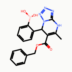 CC1=C(C(=O)OCc2ccccc2)C(c2ccccc2B(O)O)n2nnnc2N1